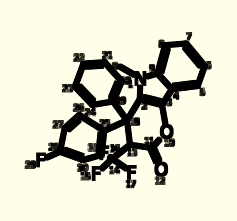 Cn1c2c(c3ccccc31)OC(=O)C(C(F)(F)F)C2(c1ccccc1)c1ccc(F)cc1